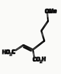 COCCCC(=CC(=O)O)C(=O)O